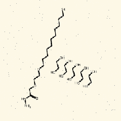 NNC(=O)COCCOCCCCCCCCCCCS.OCCO.OCCO.OCCO.OCCO.OCCO